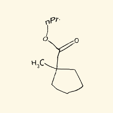 CC[CH]OC(=O)C1(C)CCCC1